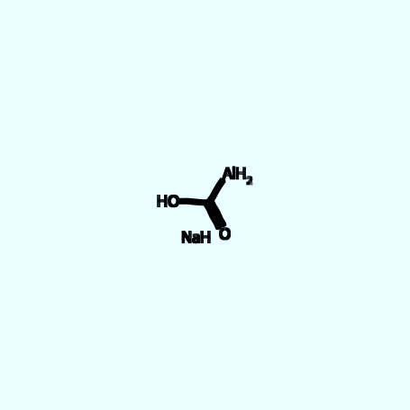 O=[C](O)[AlH2].[NaH]